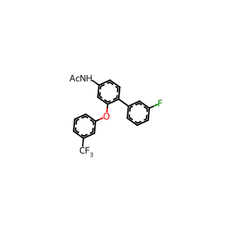 CC(=O)Nc1ccc(-c2cccc(F)c2)c(Oc2cccc(C(F)(F)F)c2)c1